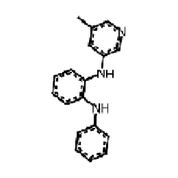 Cc1cncc(Nc2ccccc2Nc2ccccc2)c1